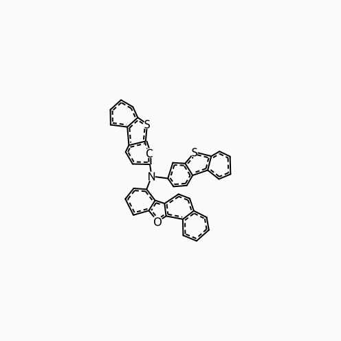 c1ccc2c(c1)ccc1c2oc2cccc(N(c3ccc4c(c3)sc3ccccc34)c3ccc4c(c3)sc3ccccc34)c21